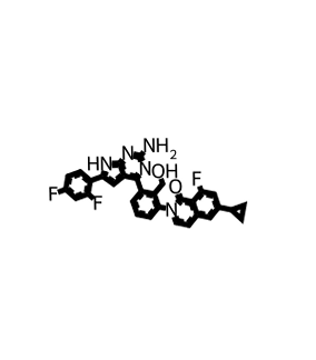 Nc1nc(-c2cccc(-n3ccc4cc(C5CC5)cc(F)c4c3=O)c2CO)c2cc(-c3ccc(F)cc3F)[nH]c2n1